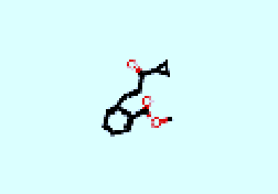 COC(=O)c1ccccc1/C=C/C(=O)C1CC1